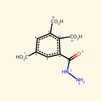 NNC(=O)c1cc(C(=O)O)cc(C(=O)O)c1C(=O)O